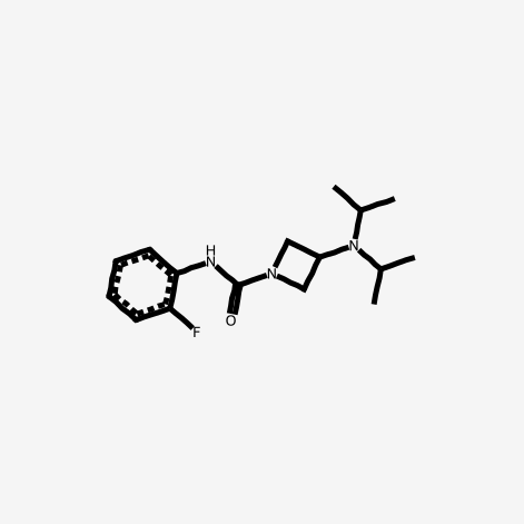 CC(C)N(C(C)C)C1CN(C(=O)Nc2ccccc2F)C1